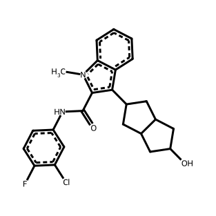 Cn1c(C(=O)Nc2ccc(F)c(Cl)c2)c(C2CC3CC(O)CC3C2)c2ccccc21